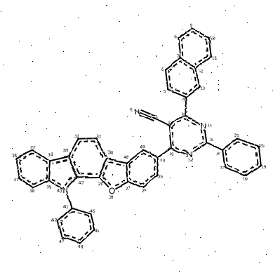 N#Cc1c(-c2ccc3ccccc3c2)nc(-c2ccccc2)nc1-c1ccc2oc3c(ccc4c5ccccc5n(-c5ccccc5)c43)c2c1